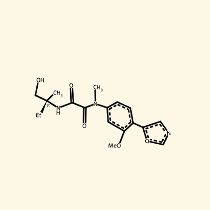 CC[C@](C)(CO)NC(=O)C(=O)N(C)c1ccc(-c2cnco2)c(OC)c1